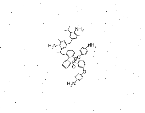 Cc1cc(Cc2cc(C)c(N)c(C(C)Cc3cccc4c3-c3ccccc3P(=O)(c3cc(Oc5ccc(N)cc5)ccc3Oc3ccc(N)cc3)O4)c2)cc(C(C)C)c1N